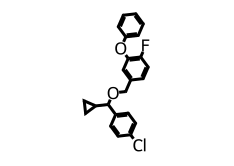 Fc1ccc(COC(c2ccc(Cl)cc2)C2CC2)cc1Oc1ccccc1